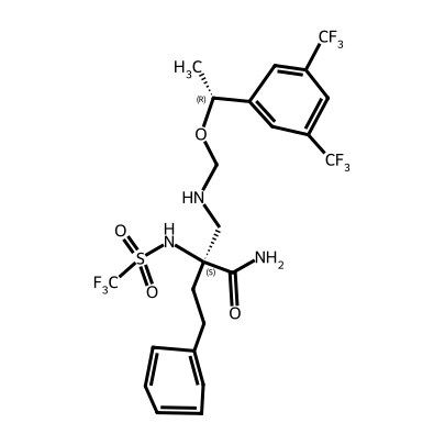 C[C@@H](OCNC[C@](CCc1ccccc1)(NS(=O)(=O)C(F)(F)F)C(N)=O)c1cc(C(F)(F)F)cc(C(F)(F)F)c1